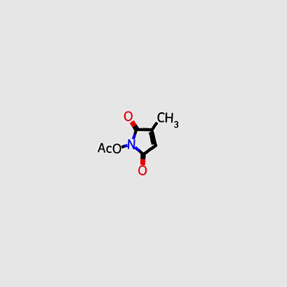 CC(=O)ON1C(=O)C=C(C)C1=O